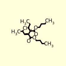 CCCCOC(=O)C(=CC(C)C)C(CCC)C(=O)OCCCC